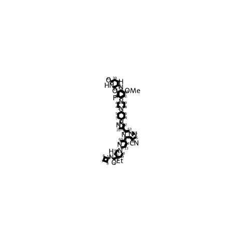 CCC1(C(=O)NC2CCC2)CCN(c2ccc(-c3nc(-c4cnn([C@H]5CC[C@H](N6CCN(c7cc(OC)c(NC8CCC(=O)NC8=O)cc7F)CC6)CC5)c4)cn4ncc(C#N)c34)cn2)CC1